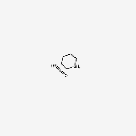 C1CC[SiH2]CC1.N=C=O